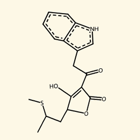 CSC(C)CC1OC(=O)C(C(=O)Cc2c[nH]c3ccccc23)=C1O